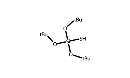 CC(C)(C)O[Si](S)(OC(C)(C)C)OC(C)(C)C